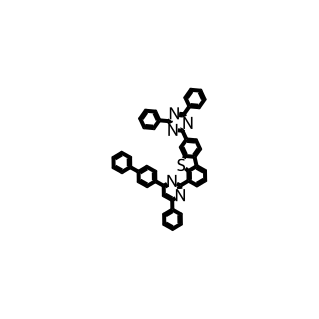 c1ccc(-c2ccc(-c3cc(-c4ccccc4)nc(-c4cccc5c4sc4cc(-c6nc(-c7ccccc7)nc(-c7ccccc7)n6)ccc45)n3)cc2)cc1